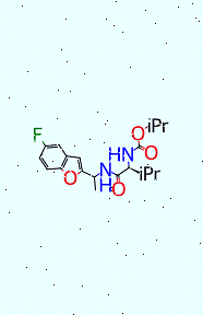 CC(C)OC(=O)N[C@H](C(=O)NC(C)c1cc2cc(F)ccc2o1)C(C)C